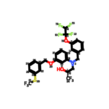 O[C@H](CN(Cc1cccc(OC(F)(F)C(F)F)c1)c1cccc(OCc2cccc(SC(F)(F)F)c2)c1)C(F)(F)F